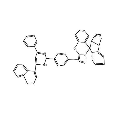 C1=CC2c3ccccc3C3(c4ccccc4Oc4c(-c5ccc(C6N=C(c7ccccc7)C=C(c7cccc8ccccc78)N6)cc5)cccc43)C2C=C1